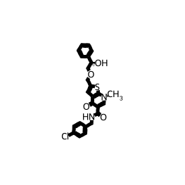 Cn1cc(C(=O)NCc2ccc(Cl)cc2)c(=O)c2cc(COC[C@H](O)c3ccccc3)sc21